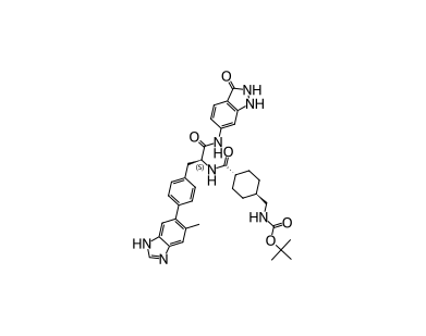 Cc1cc2nc[nH]c2cc1-c1ccc(C[C@H](NC(=O)[C@H]2CC[C@H](CNC(=O)OC(C)(C)C)CC2)C(=O)Nc2ccc3c(=O)[nH][nH]c3c2)cc1